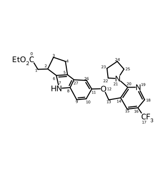 CCOC(=O)CC1CCc2c1[nH]c1ccc(OCc3cc(C(F)(F)F)cnc3N3CCCC3)cc21